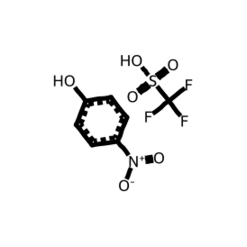 O=S(=O)(O)C(F)(F)F.O=[N+]([O-])c1ccc(O)cc1